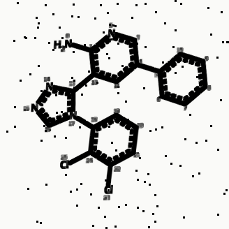 Nc1ncc(-c2ccccc2)cc1-c1nncn1-c1cccc(Cl)c1Cl